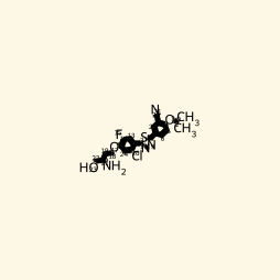 CC(C)Oc1ccc(-c2nnc(-c3cc(F)c(OCC[C@@H](N)CO)cc3Cl)s2)cc1C#N